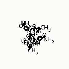 CCn1nc(C)cc1C(=O)Nc1nc2cc(C(N)=O)ccc2n1CCN(CCn1c(NC(=O)c2cc(C)nn2CC)nc2cc(C(N)=O)ccc21)C(=O)OC(C)(C)C